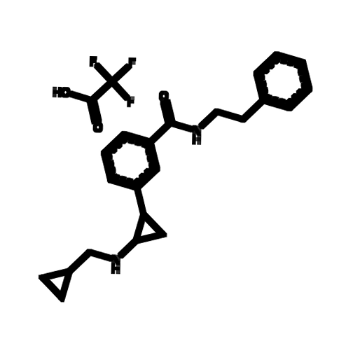 O=C(NCCc1ccccc1)c1cccc(C2CC2NCC2CC2)c1.O=C(O)C(F)(F)F